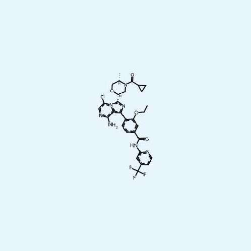 CCOc1cc(C(=O)Nc2cc(C(F)(F)F)ccn2)ccc1-c1nc([C@H]2CN(C(=O)C3CC3)[C@@H](C)CO2)n2c(Cl)cnc(N)c12